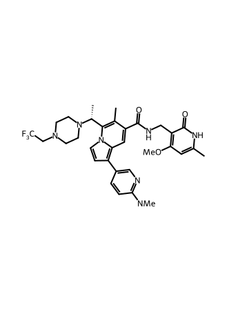 CNc1ccc(-c2ccn3c([C@@H](C)N4CCN(CC(F)(F)F)CC4)c(C)c(C(=O)NCc4c(OC)cc(C)[nH]c4=O)cc23)cn1